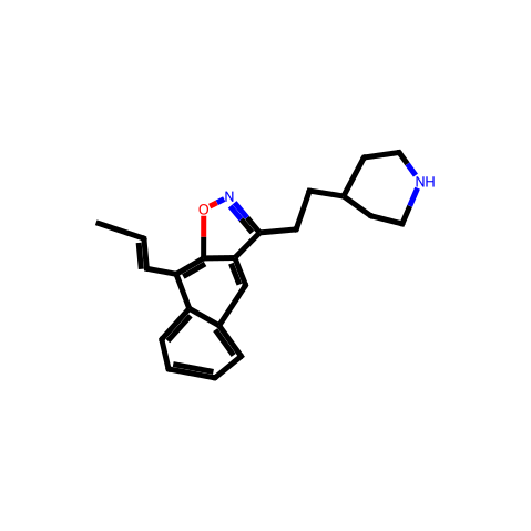 CC=Cc1c2ccccc2cc2c(CCC3CCNCC3)noc12